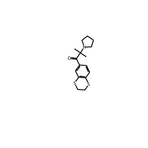 CC(C)(C(=O)c1ccc2c(c1)SCCS2)N1CCCC1